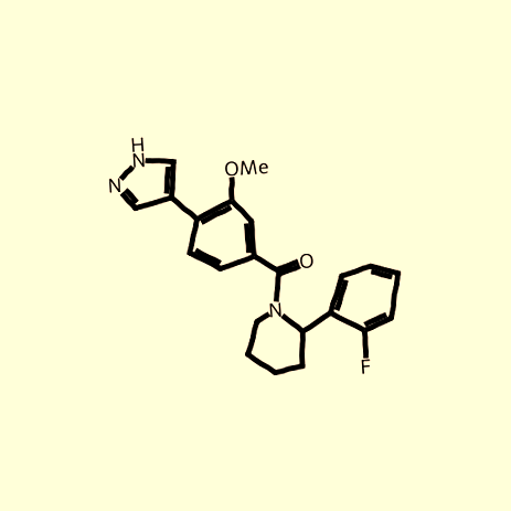 COc1cc(C(=O)N2CCCCC2c2ccccc2F)ccc1-c1cn[nH]c1